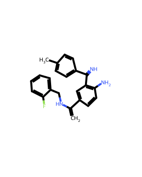 C=C(NCc1ccccc1F)c1ccc(N)c(C(=N)c2ccc(C)cc2)c1